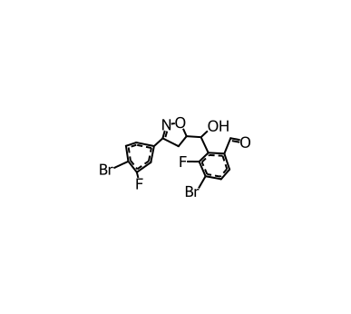 O=Cc1ccc(Br)c(F)c1C(O)C1CC(c2ccc(Br)c(F)c2)=NO1